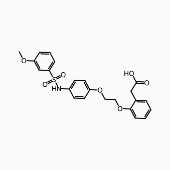 COc1cccc(S(=O)(=O)Nc2ccc(OCCOc3ccccc3CC(=O)O)cc2)c1